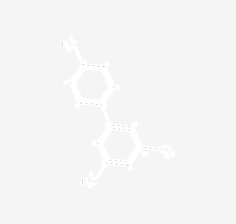 Cc1ccc(-c2cc(C)cc(C(F)(F)F)c2)cc1